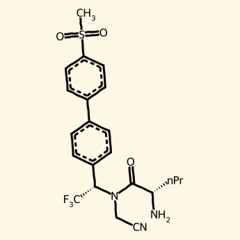 CCC[C@H](N)C(=O)N(CC#N)[C@@H](c1ccc(-c2ccc(S(C)(=O)=O)cc2)cc1)C(F)(F)F